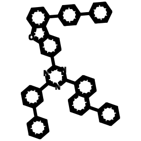 c1ccc(-c2ccc(-c3cccc4oc5cc(-c6nc(-c7cccc(-c8ccccc8)c7)nc(-c7cccc8c(-c9ccccc9)cccc78)n6)ccc5c34)cc2)cc1